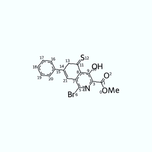 COC(=O)c1nc(Br)c2c(c1O)C(=S)CC(c1ccccc1)=C2